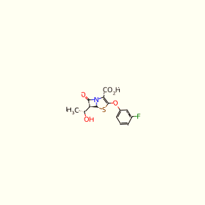 C[C@@H](O)[C@H]1C(=O)N2C(C(=O)O)=C(Oc3cccc(F)c3)SC12